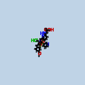 COc1ccc2cc(CN(Cc3cccc(NCC(=O)O)n3)S(=O)(=O)c3cccnc3)sc2c1.Cl